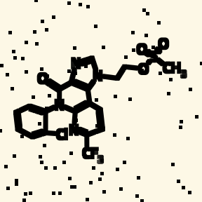 CS(=O)(=O)OCCn1cnc2c(=O)n(-c3ccccc3Cl)c3nc(C(F)(F)F)ccc3c21